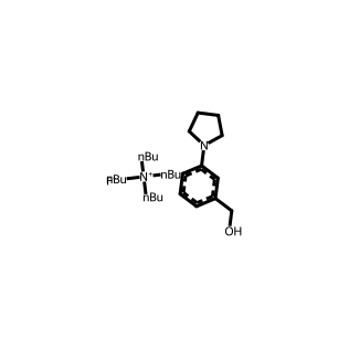 CCCC[N+](CCCC)(CCCC)CCCC.OCc1cccc(N2CCCC2)c1.[F-]